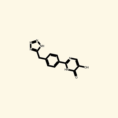 O=c1[nH]c(-c2ccc(Cc3nnn[nH]3)cc2)ncc1O